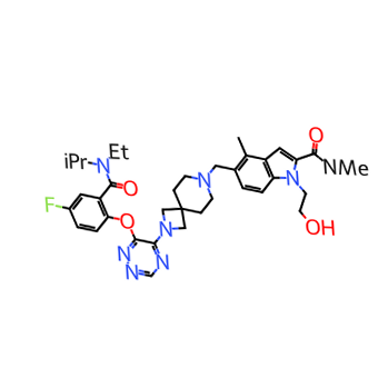 CCN(C(=O)c1cc(F)ccc1Oc1nncnc1N1CC2(CCN(Cc3ccc4c(cc(C(=O)NC)n4CCO)c3C)CC2)C1)C(C)C